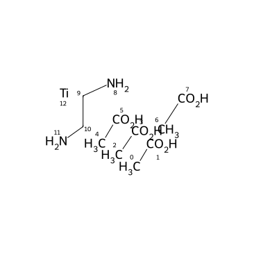 CC(=O)O.CC(=O)O.CC(=O)O.CC(=O)O.NCCN.[Ti]